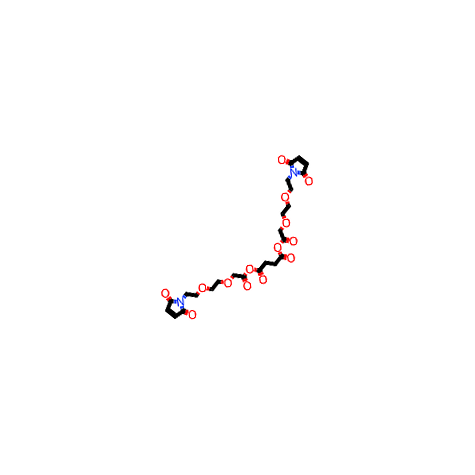 O=C(CCC(=O)OC(=O)COCCOCCN1C(=O)C=CC1=O)OC(=O)COCCOCCN1C(=O)C=CC1=O